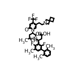 Cc1cc(-c2c(C)cccc2C)c(F)c(C(CC(=O)O)NC(=O)C(CC(C)C)n2cc(CCN3CC4(CCC4)C3)c(C(F)(F)F)cc2=O)c1F